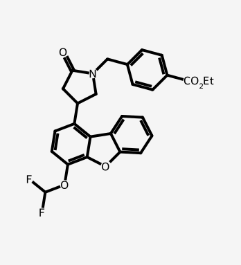 CCOC(=O)c1ccc(CN2CC(c3ccc(OC(F)F)c4oc5ccccc5c34)CC2=O)cc1